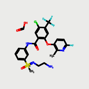 Cc1nc(F)ccc1Oc1cc(C(F)(F)F)c(Cl)cc1C(=O)Nc1cccc([S@@](C)(=O)=NCCN)c1.O=CO